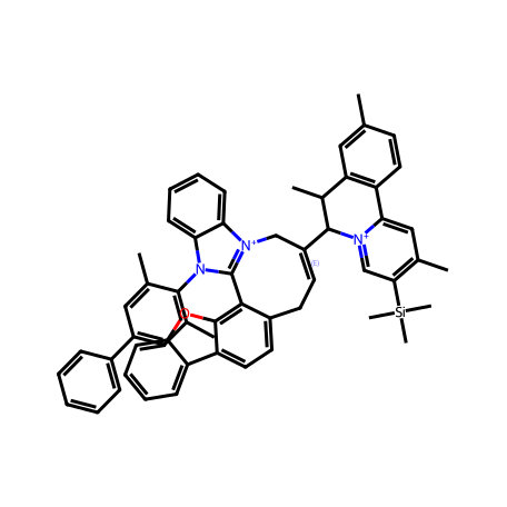 Cc1ccc2c(c1)C(C)C(/C1=C/Cc3ccc4c(oc5ccccc54)c3-c3n(-c4c(C)cc(-c5ccccc5)cc4C)c4ccccc4[n+]3C1)[n+]1cc([Si](C)(C)C)c(C)cc1-2